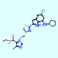 CCOC(=O)c1c(C)ncn1CC[C@@H]1CSC(c2cc3cc(Cl)cc(NC4CCCC4)c3[nH]2)=N1